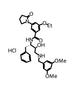 CCOc1cc(C(=O)N[C@@H](Cc2ccccc2)[C@@H](O)CNCc2cc(OC)cc(OC)c2)cc(N2CCCC2=O)c1.Cl